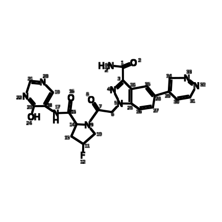 NC(=O)c1nn(CC(=O)N2CC(F)CC2C(=O)Nc2cncnc2O)c2ccc(-c3ccnnc3)cc12